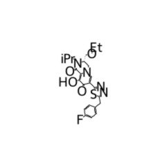 CCOC[C@@H]1Cn2cc(-c3nnc(Cc4ccc(F)cc4)s3)c(=O)c(O)c2C(=O)N1C(C)C